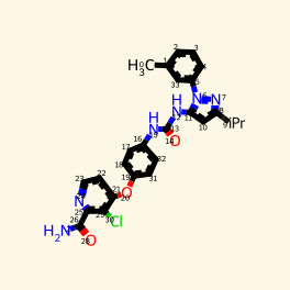 Cc1cccc(-n2nc(C(C)C)cc2NC(=O)Nc2ccc(Oc3ccnc(C(N)=O)c3Cl)cc2)c1